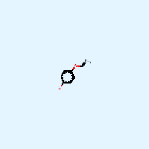 C=COc1ccc([O])cc1